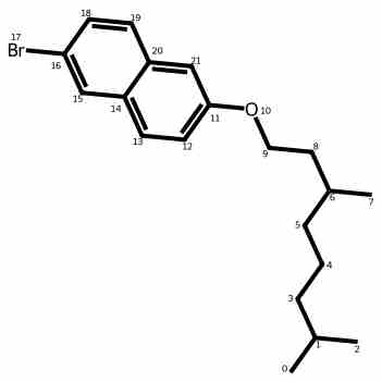 CC(C)CCCC(C)CCOc1ccc2cc(Br)ccc2c1